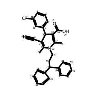 CC1=C(C#N)C(c2cccc(Cl)c2)C(C(=O)O)=C(C)N1CCC(c1ccccc1)c1ccccc1